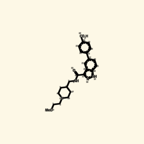 COCCN1CCC(CNC(=O)c2n[nH]c3ccc(-c4ccc(C(=O)O)cc4)cc23)CC1